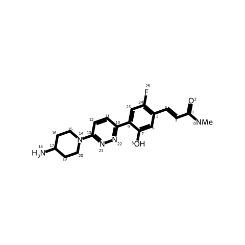 CNC(=O)/C=C/c1cc(O)c(-c2ccc(N3CCC(N)CC3)nn2)cc1F